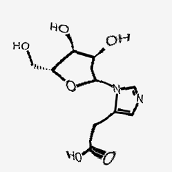 O=C(O)Cc1cncn1C1O[C@H](CO)[C@@H](O)[C@H]1O